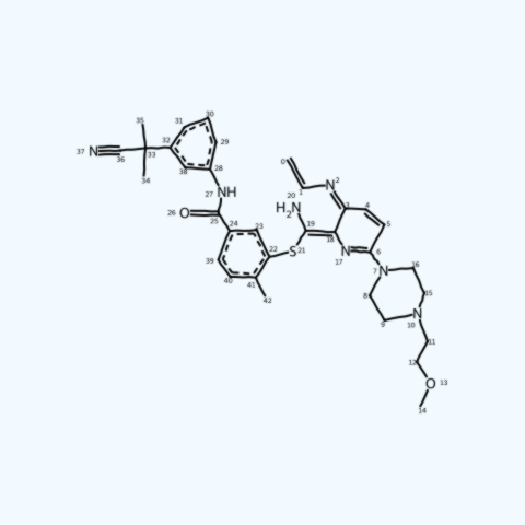 C=C/N=C1/C=CC(N2CCN(CCOC)CC2)=N/C1=C(/N)Sc1cc(C(=O)Nc2cccc(C(C)(C)C#N)c2)ccc1C